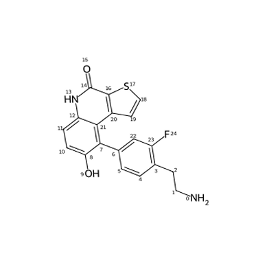 NCCc1ccc(-c2c(O)ccc3[nH]c(=O)c4sccc4c23)cc1F